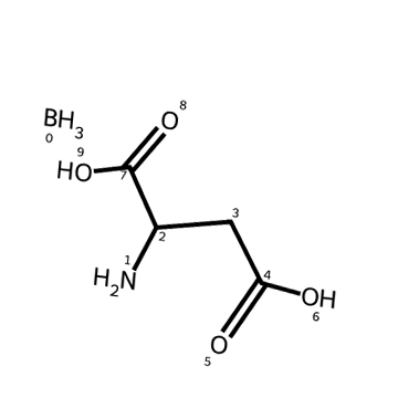 B.NC(CC(=O)O)C(=O)O